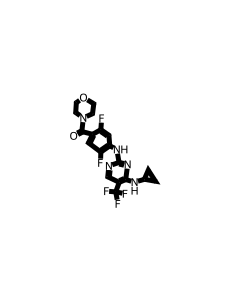 O=C(c1cc(F)c(Nc2ncc(C(F)(F)F)c(NC3CC3)n2)cc1F)N1CCOCC1